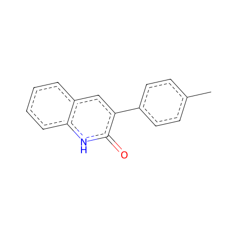 Cc1ccc(-c2cc3ccccc3[nH]c2=O)cc1